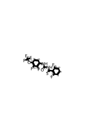 O=C(NC(=S)c1c(F)cccc1F)Nc1ccc(OC(F)(F)F)c(F)c1F